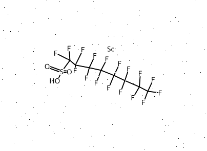 O=S(=O)(O)C(F)(F)C(F)(F)C(F)(F)C(F)(F)C(F)(F)C(F)(F)C(F)(F)C(F)(F)F.[Sc]